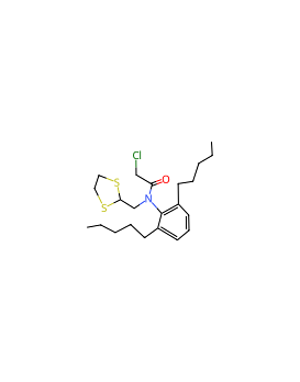 CCCCCc1cccc(CCCCC)c1N(CC1SCCS1)C(=O)CCl